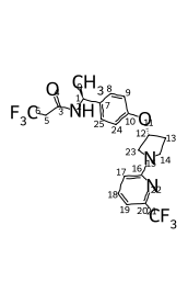 C[C@H](NC(=O)CC(F)(F)F)c1ccc(O[C@@H]2CCN(c3cccc(C(F)(F)F)n3)C2)cc1